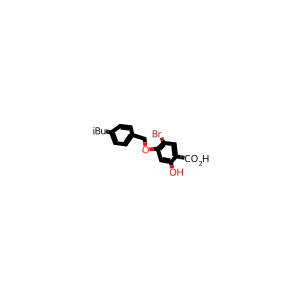 CCC(C)c1ccc(COc2cc(O)c(C(=O)O)cc2Br)cc1